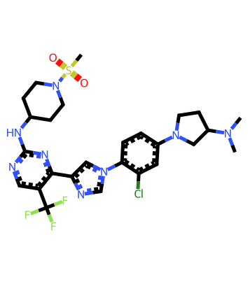 CN(C)C1CCN(c2ccc(-n3cnc(-c4nc(NC5CCN(S(C)(=O)=O)CC5)ncc4C(F)(F)F)c3)c(Cl)c2)C1